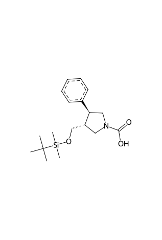 CC(C)(C)[Si](C)(C)OC[C@H]1CN(C(=O)O)C[C@@H]1c1ccccc1